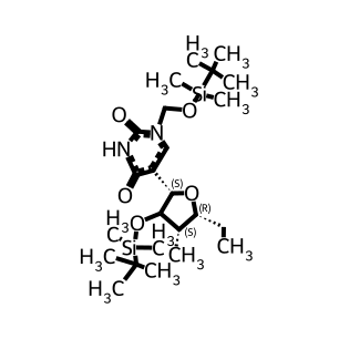 CC[C@H]1O[C@@H](c2cn(CO[Si](C)(C)C(C)(C)C)c(=O)[nH]c2=O)C(O[Si](C)(C)C(C)(C)C)[C@H]1C